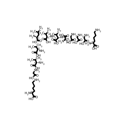 CC(C)C[C@H](N)C(=O)O.CC(C)[C@H](N)C(=O)O.CC(C)[C@H](N)C(=O)O.CC(C)[C@H](N)C(=O)O.CC(C)[C@H](N)C(=O)O.C[C@H](N)C(=O)O.NCC(=O)O.NCC(=O)O.NCC(=O)O.NCC(=O)O.NCCCC[C@H](N)C(=O)O.NCCCC[C@H](N)C(=O)O